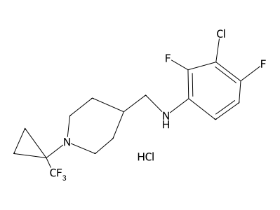 Cl.Fc1ccc(NCC2CCN(C3(C(F)(F)F)CC3)CC2)c(F)c1Cl